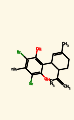 C=C(C)C1CCC(C)=CC1c1c(O)c(Br)c(CCC)c(Br)c1O